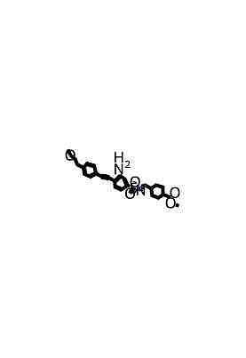 COCCc1ccc(C#Cc2ccc(S(=O)(=O)/N=C/C3CCC(C(=O)OC)CC3)cc2N)cc1